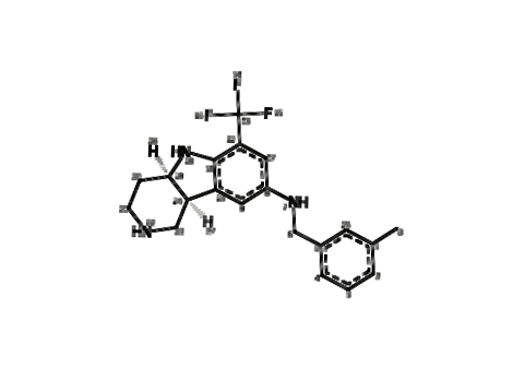 Cc1cccc(CNc2cc3c(c(C(F)(F)F)c2)N[C@@H]2CCNC[C@H]32)c1